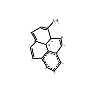 NC1=CC=C2C=Cc3cccc4c3C2C1C=C4